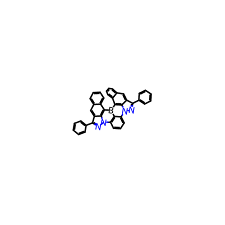 c1ccc(-c2nn3c4c(c5ccccc5cc24)B2c4c-3cccc4-n3nc(-c4ccccc4)c4cc5ccccc5c2c43)cc1